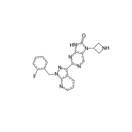 O=c1[nH]c2nc(-c3nn(Cc4ccccc4F)c4ncccc34)ncc2n1C1CNC1